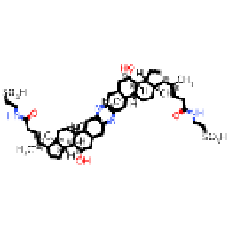 C[C@H](CCC(=O)NCCS(=O)(=O)O)C1CC[C@H]2[C@@H]3[C@@H](O)CC4Cc5nc6c(nc5C[C@]4(C)[C@H]3CC[C@]12C)CC1C[C@H](O)[C@H]2[C@@H]3CC[C@H]([C@@H](C)CCC(=O)NCCS(=O)(=O)O)[C@@]3(C)CC[C@@H]2[C@@]1(C)C6